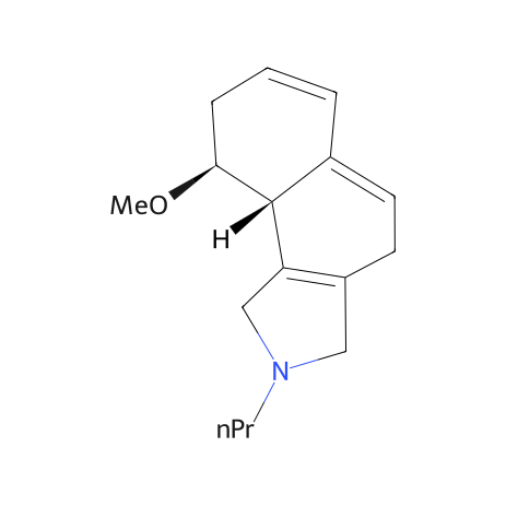 CCCN1CC2=C(C1)[C@H]1C(=CC2)C=CC[C@@H]1OC